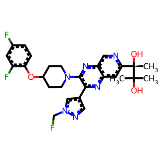 CC(C)(O)[C@@](C)(O)c1cc2nc(-c3cnn(CF)c3)c(N3CCC(Oc4ccc(F)cc4F)CC3)nc2cn1